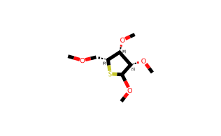 COC[C@H]1SC(OC)[C@@H](OC)[C@H]1OC